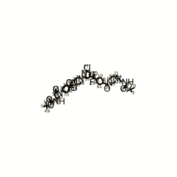 CC(C)(C)OC(=O)NCC[N+]1(C)CCN(C(=O)C2CCC(C(F)(F)c3cc(Cl)nc(N4CCN(S(=O)(=O)c5ccc(N6C[C@H](NC(=O)OC(C)(C)C)CC6=O)cc5)CC4)c3)CC2)CC1